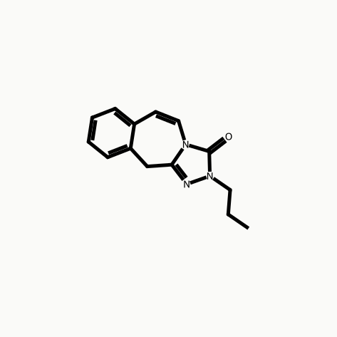 CCCn1nc2n(c1=O)C=Cc1ccccc1C2